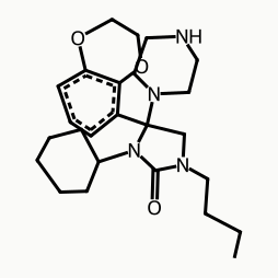 CCCCN1CC(c2cccc3c2OCCO3)(N2CCNCC2)N(C2CCCCC2)C1=O